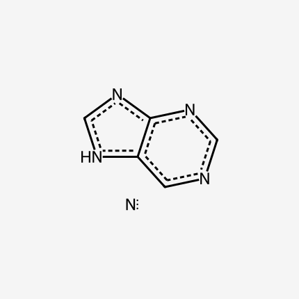 [N].c1ncc2[nH]cnc2n1